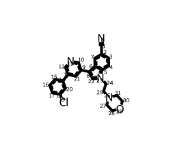 N#Cc1ccc2c(c1)c(-c1cncc(-c3cccc(Cl)c3)c1)cn2CCN1CCOCC1